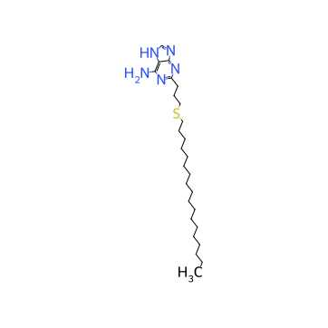 CCCCCCCCCCCCCCCCCCSCCCc1nc(N)c2[nH]cnc2n1